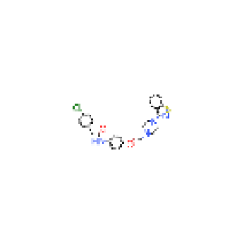 O=C(Cc1ccc(Cl)cc1)Nc1ccc(OCCN2CCN(c3nsc4ccccc34)CC2)cc1